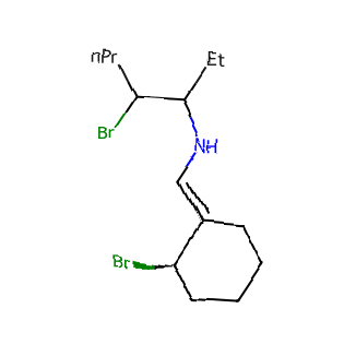 CCCC(Br)C(CC)N/C=C1\CCCC[C@H]1Br